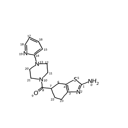 Nc1nc2c(s1)CC(C(=O)N1CCN(c3ccccn3)CC1)CC2